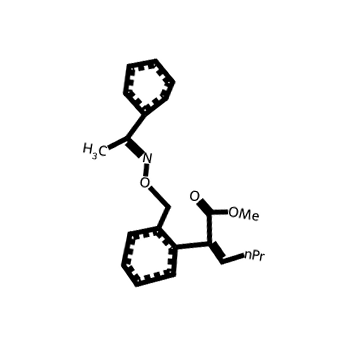 CCC/C=C(\C(=O)OC)c1ccccc1CO/N=C(\C)c1ccccc1